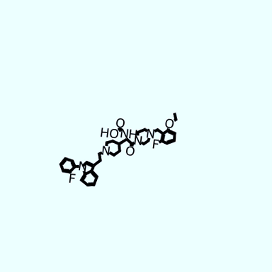 CCOc1cccc(F)c1CN1CCN(C(=O)C(NC(=O)O)C2CCN(CCc3cn(-c4ccccc4F)c4ccccc34)CC2)CC1